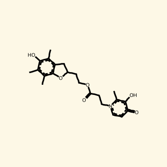 Cc1c(C)c2c(c(C)c1O)CC(CCOC(=O)CCn1ccc(=O)c(O)c1C)O2